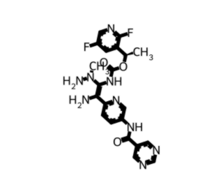 C[C@@H](OC(=O)N/C(=C(/N)c1ccc(NC(=O)c2cncnc2)cn1)N(C)N)c1cc(F)cnc1F